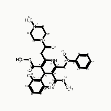 COC(=O)C1=C(CC(=O)N2CCN(C)CC2)NC(C[S+]([O-])c2ccccc2)=C(C(=O)OC)C1c1c(Cl)cccc1Cl